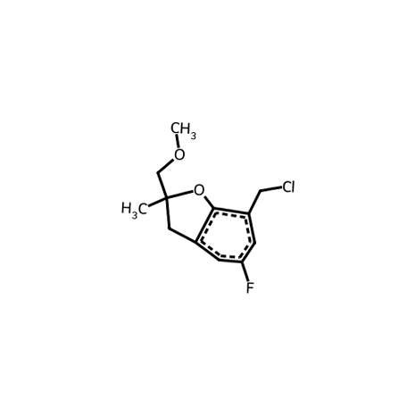 COCC1(C)Cc2cc(F)cc(CCl)c2O1